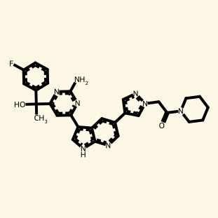 CC(O)(c1cccc(F)c1)c1cc(-c2c[nH]c3ncc(-c4cnn(CC(=O)N5CCCCC5)c4)cc23)nc(N)n1